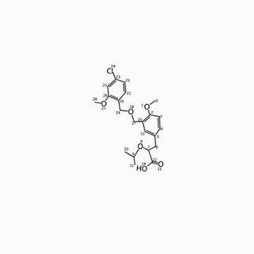 COc1ccc(CC(OC(C)C)C(=O)O)cc1COCc1ccc(Cl)cc1OC